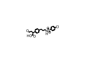 O=CCC(C(=O)O)c1ccc(CCCNS(=O)(=O)c2ccc(Cl)cc2)cc1